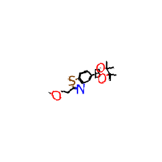 COCCc1nc2cc(B3OC(C)(C)C(C)(C)O3)ccc2s1